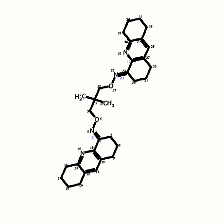 CC(C)(CO/N=C1\CCCc2cc3c(nc21)CCCC3)CO/N=C1\CCCc2cc3c(nc21)CCCC3